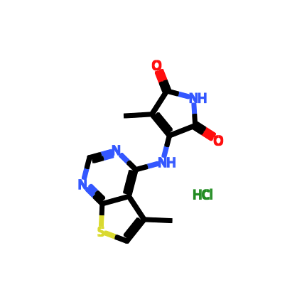 CC1=C(Nc2ncnc3scc(C)c23)C(=O)NC1=O.Cl